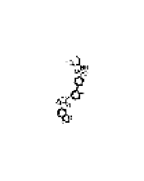 CCC(CO)NS(=O)(=O)c1ccc(-c2cc(NC(=O)C3(c4ccc5c(c4)OCO5)CC3)ccc2C)cc1